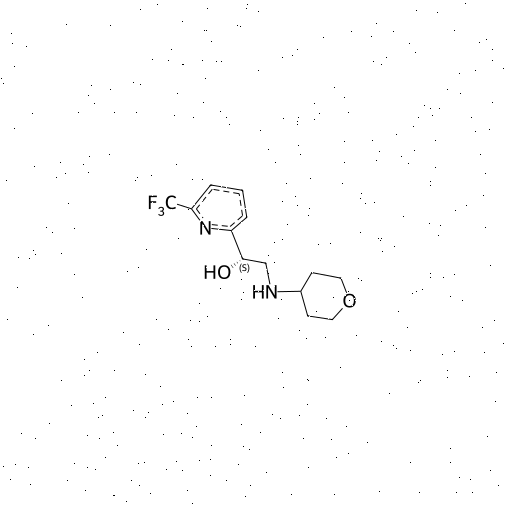 O[C@@H](CNC1CCOCC1)c1cccc(C(F)(F)F)n1